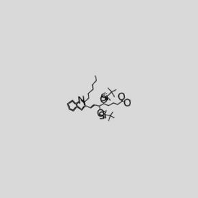 CCCCCCc1nc2ccccc2cc1/C=C/C(O[Si](C)(C)C(C)(C)C)C(CCCC(=O)OC)O[Si](C)(C)C(C)(C)C